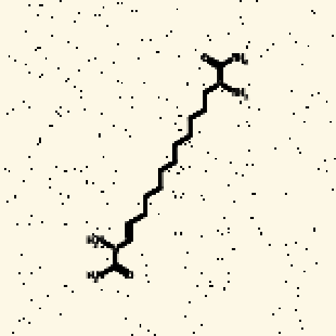 NC(=O)N(N)C=CCCCCCCCCCCN(N)C(N)=O